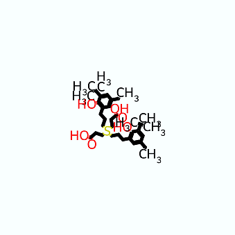 CCc1cc(CCCS(CCCc2cc(CC)cc(C(C)(C)C)c2O)(CCC(=O)O)CCC(=O)O)c(O)c(C(C)(C)C)c1